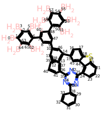 Bc1c(B)c(B)c(-c2cc(-c3cccc(-c4ccc5sc6cccc(-c7nc(-c8ccccc8)nc(-c8ccccc8)n7)c6c5c4)c3)cc(-c3c(B)c(B)c(B)c(B)c3B)c2)c(B)c1B